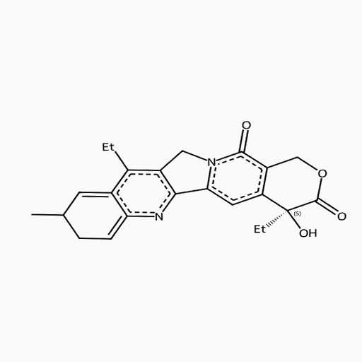 CCc1c2c(nc3c1=CC(C)CC=3)-c1cc3c(c(=O)n1C2)COC(=O)[C@]3(O)CC